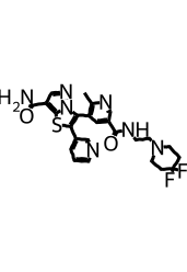 Cc1ncc(C(=O)NCCN2CCC(F)(F)CC2)cc1-c1c(-c2cccnc2)sc2c(C(N)=O)cnn12